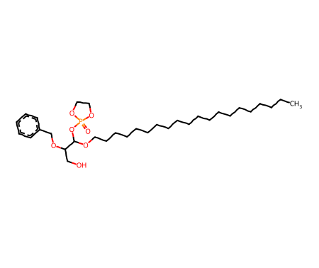 CCCCCCCCCCCCCCCCCCCCOC(OP1(=O)OCCO1)C(CO)OCc1ccccc1